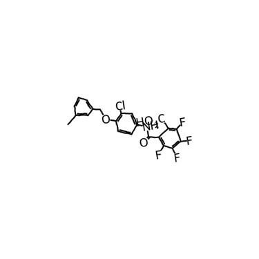 Cc1cccc(COc2ccc(NC(=O)c3c(F)c(F)c(F)c(F)c3C(=O)O)cc2Cl)c1